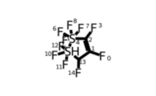 FC1=C(F)S(F)(F)(F)(F)[SH](F)(F)(F)C1F